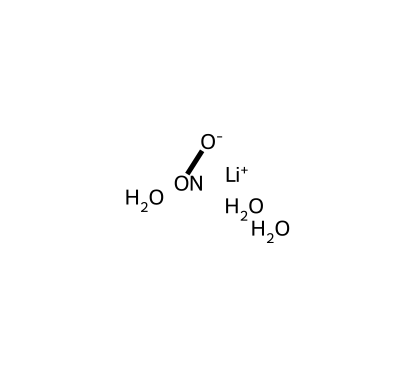 O.O.O.O=N[O-].[Li+]